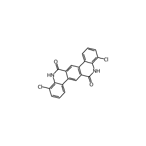 O=c1[nH]c2c(Cl)cccc2c2cc3c(=O)[nH]c4c(Cl)cccc4c3cc12